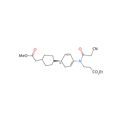 CCOC(=O)CCN(C(=O)CC#N)C1=CC[C@@H](C2CCC(CC(=O)OC)CC2)C=C1